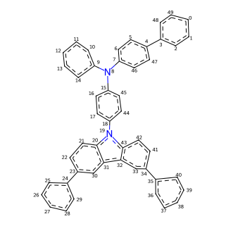 c1ccc(-c2ccc(N(c3ccccc3)c3ccc(-n4c5ccc(-c6ccccc6)cc5c5cc(-c6ccccc6)ccc54)cc3)cc2)cc1